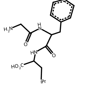 CC(C)CC(NC(=O)C(Cc1ccccc1)NC(=O)CN)C(=O)O